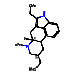 CCCN1C[C@H](CSC)CC2c3cccc4[nH]c(COC(C)=O)c(c34)C[C@H]21